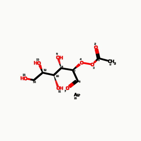 CC(=O)OO[C@@H](C=O)[C@@H](O)[C@H](O)[C@H](O)CO.[Au]